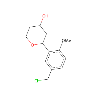 COc1ccc(CCl)cc1C1CC(O)CCO1